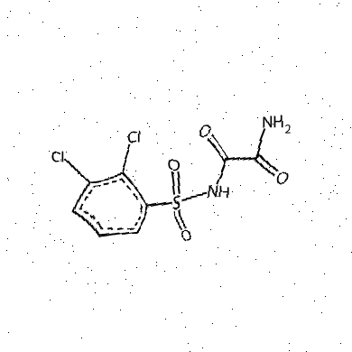 NC(=O)C(=O)NS(=O)(=O)c1cccc(Cl)c1Cl